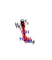 COc1ccc(NC(=O)COCCOCCNC(=O)COCCCO[C@@H]2CCC3C4CC=C5C[C@H](C)CC[C@@]5(C)C4CC[C@]32C)c(O)c1C(N)=O